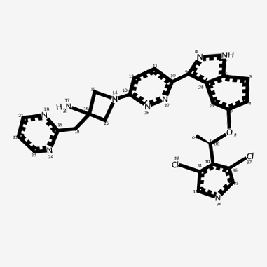 C[C@@H](Oc1ccc2[nH]nc(-c3ccc(N4CC(N)(Cc5ncccn5)C4)nn3)c2c1)c1c(Cl)cncc1Cl